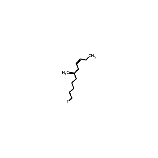 C=C(C/C=C\CC)CCCCCF